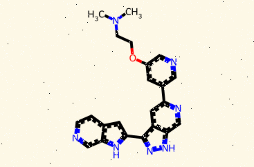 CN(C)CCOc1cncc(-c2cc3c(-c4cc5ccncc5[nH]4)n[nH]c3cn2)c1